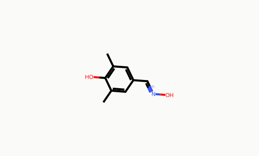 Cc1cc(/C=N/O)cc(C)c1O